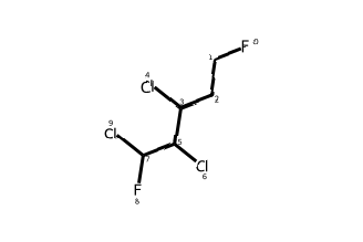 FCCC(Cl)C(Cl)C(F)Cl